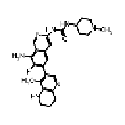 Cc1c(-c2cc3cc(NC(=O)NC4CCN(C)CC4)ncc3c(N)c2F)cnc2c1NCCC2